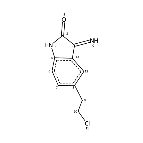 N=C1C(=O)Nc2ccc(CCCl)cc21